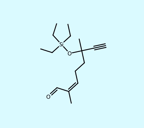 C#CC(C)(CCC=C(C)C=O)O[Si](CC)(CC)CC